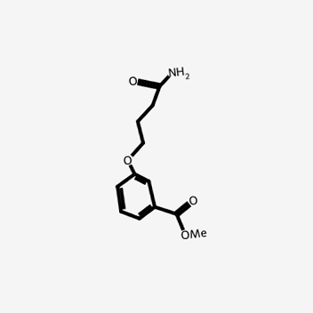 COC(=O)c1cccc(OCCCC(N)=O)c1